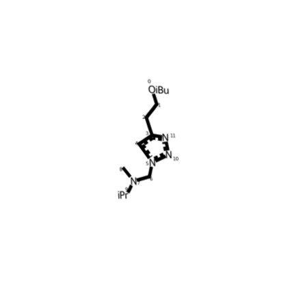 CC(C)COCCc1cn(CN(C)C(C)C)nn1